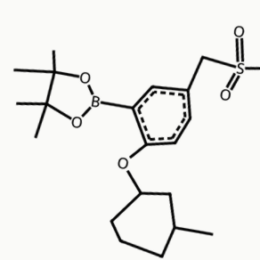 CC1CCCC(Oc2ccc(CS(C)(=O)=O)cc2B2OC(C)(C)C(C)(C)O2)C1